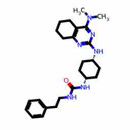 CN(C)c1nc(N[C@H]2CC[C@@H](NC(=O)NCCc3ccccc3)CC2)nc2c1CCCC2